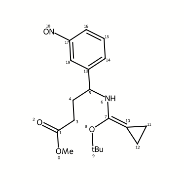 COC(=O)CCC(NC(OC(C)(C)C)=C1CC1)c1cccc(N=O)c1